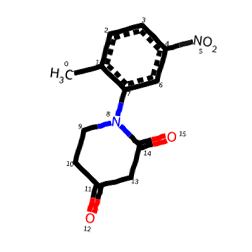 Cc1ccc([N+](=O)[O-])cc1N1CCC(=O)CC1=O